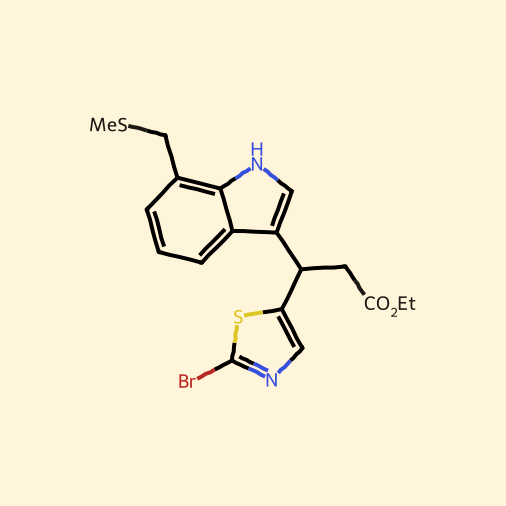 CCOC(=O)CC(c1cnc(Br)s1)c1c[nH]c2c(CSC)cccc12